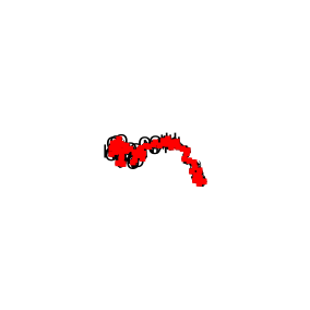 CO[C@H]1C(=O)[C@]2(C)[C@@H](OC)C[C@H]3OC[C@@]3(OC(C)=O)[C@H]2[C@H](OC(=O)c2ccccc2)[C@]2(O)C[C@H](OC(=O)[C@H](OC(=O)CCC(=O)NCC(=O)O[C@H]3CC[C@@]4(C)C(=CC[C@H]5[C@@H]6CC[C@H](CCCCC(C)C#CCC(C)CCC[C@@H](C)[C@H]7CCC8C9CC=C%10CCCC[C@]%10(C)C9CC[C@@]87C)[C@@]6(C)CC[C@@H]54)C3)[C@@H](NC(=O)OC(C)(C)C)c3ccccc3)C(C)=C1C2(C)C